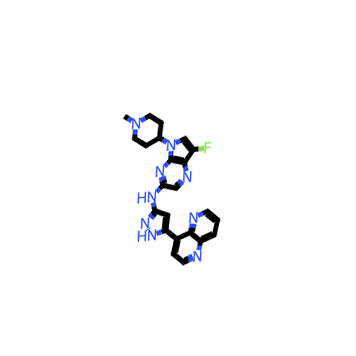 CN1CCC(n2cc(F)c3ncc(Nc4cc(-c5ccnc6cccnc56)[nH]n4)nc32)CC1